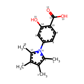 Cc1c(C)c(C)n(-c2ccc(C(=O)O)c(O)c2)c1C